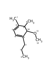 CCCC1=CC=C(C)C(C)C1OC